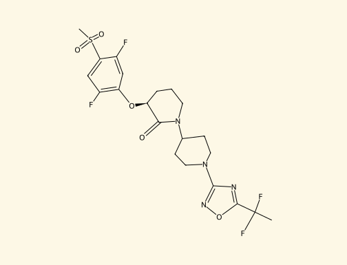 CC(F)(F)c1nc(N2CCC(N3CCC[C@H](Oc4cc(F)c(S(C)(=O)=O)cc4F)C3=O)CC2)no1